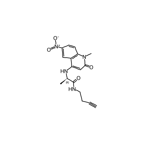 C#CCCNC(=O)[C@@H](C)Nc1cc(=O)n(C)c2ccc([N+](=O)[O-])cc12